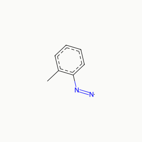 Cc1ccccc1N=[N]